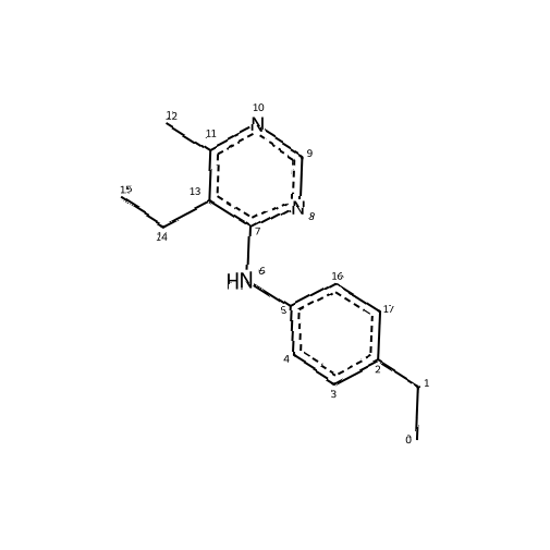 CCc1ccc(Nc2ncnc(C)c2CC)cc1